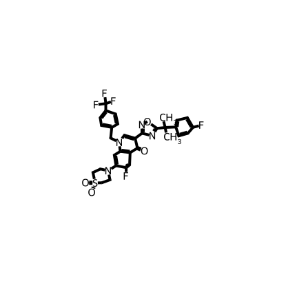 CC(C)(c1ccc(F)cc1)c1nc(-c2cn(Cc3ccc(C(F)(F)F)cc3)c3cc(N4CCS(=O)(=O)CC4)c(F)cc3c2=O)no1